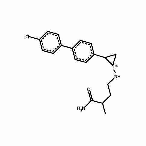 CC(CCN[C@H]1CC1c1ccc(-c2ccc(Cl)cc2)cc1)C(N)=O